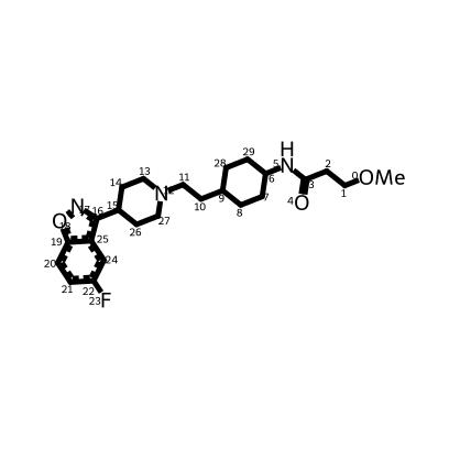 COCCC(=O)NC1CCC(CCN2CCC(c3noc4ccc(F)cc34)CC2)CC1